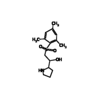 Cc1cc(C)c(S(=O)(=O)CC(O)C2CCCN2)c(C)c1